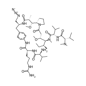 CC[C@H](C)[C@@H]([C@@H](CC(=O)N1CCC[C@H]1[C@H](OC)[C@@H](C)C(=O)N[C@H](CN=[N+]=[N-])Cc1ccc(NC(=O)[C@H](CCCNC(N)=O)NC(=O)[C@@H](N)C(C)C)cc1)OC)N(C)C(=O)[C@@H](NC(=O)[C@H](C(C)C)N(C)C)C(C)C